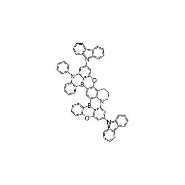 c1ccc(N2c3ccccc3B3c4cc5c6c(c4Oc4cc(-n7c8ccccc8c8ccccc87)cc2c43)CCCN6c2cc(-n3c4ccccc4c4ccccc43)cc3c2B5c2ccccc2O3)cc1